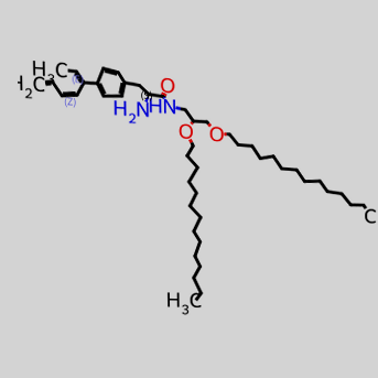 C=C/C=C\C(=C/C)c1ccc(C[C@H](N)C(=O)NCC(COCCCCCCCCCCCCCC)OCCCCCCCCCCCCCC)cc1